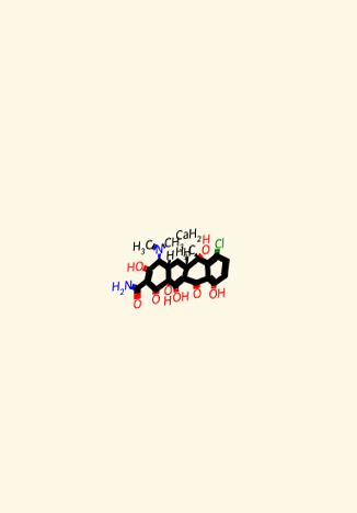 CN(C)[C@@H]1C(O)=C(C(N)=O)C(=O)[C@@]2(O)C(O)=C3C(=O)c4c(O)ccc(Cl)c4[C@@](C)(O)[C@H]3C[C@@H]12.[CaH2]